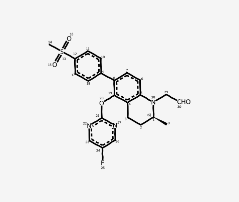 C[C@H]1CCc2c(ccc(-c3ccc(S(C)(=O)=O)cc3)c2Oc2ncc(F)cn2)N1CC=O